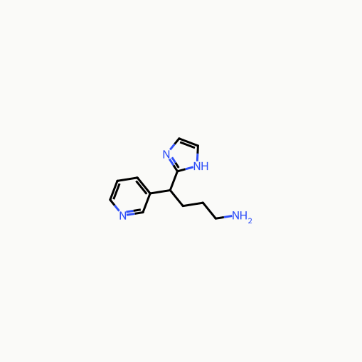 NCCCC(c1cccnc1)c1ncc[nH]1